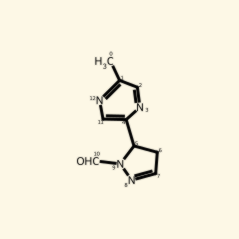 Cc1cnc(C2CC=NN2C=O)cn1